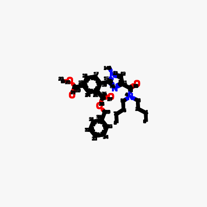 CCCCN(CCCC)C(=O)c1cn(C)c(-c2ccc(C(=O)OC)cc2C(=O)OCc2ccccc2)n1